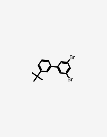 CC(C)(C)c1cccc(-c2cc(Br)cc(Br)c2)c1